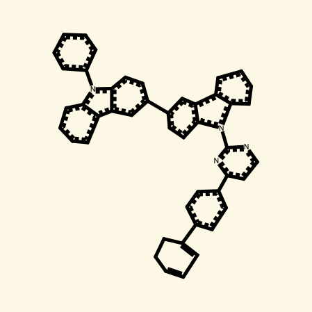 C1=CCCC(c2ccc(-c3ccnc(-n4c5ccccc5c5cc(-c6ccc7c(c6)c6ccccc6n7-c6ccccc6)ccc54)n3)cc2)=C1